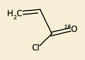 C=CC(=[18O])Cl